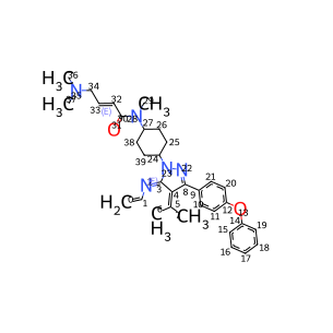 C=C/N=C1\C(=C(C)C)C(c2ccc(Oc3ccccc3)cc2)=NN1C1CCC(N(C)C(=O)/C=C/CN(C)C)CC1